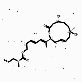 CCCN(C)C(=O)OC[C@H](C)/C=C/C=C(\C)[C@H]1OC(=O)C[C@H](O)CC[C@@](C)(O)C/C=C/[C@@H]1C